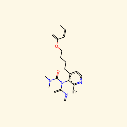 C=NC(=C)N(C(=O)N(C)C)c1c(CCCCOC(=C)/C=C\C)ccnc1C(C)C